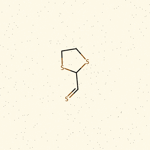 S=CC1SCCS1